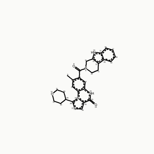 Cc1cc2c(cc1C(=O)N1CCc3c([nH]c4ccccc34)C1)[nH]c(=O)c1cnc(C3CCOCC3)n12